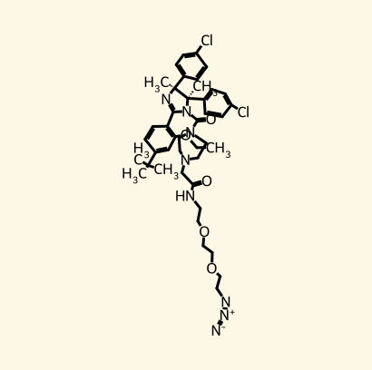 CCOc1cc(C(C)(C)C)ccc1C1=N[C@@](C)(c2ccc(Cl)cc2)[C@@](C)(c2ccc(Cl)cc2)N1C(=O)N1CCN(CC(=O)NCCOCCOCCN=[N+]=[N-])CC1